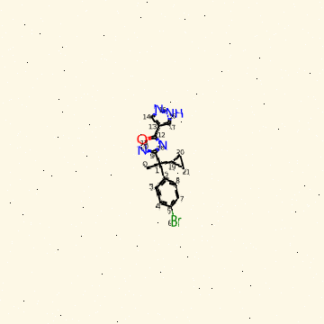 CC(c1ccc(Br)cc1)(c1noc(-c2cn[nH]c2)n1)C1CC1